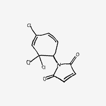 O=C1C=CC(=O)N1C1C=CC(Cl)=CC1(Cl)Cl